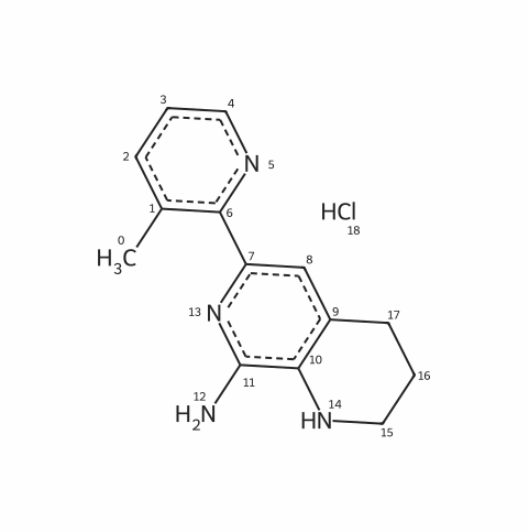 Cc1cccnc1-c1cc2c(c(N)n1)NCCC2.Cl